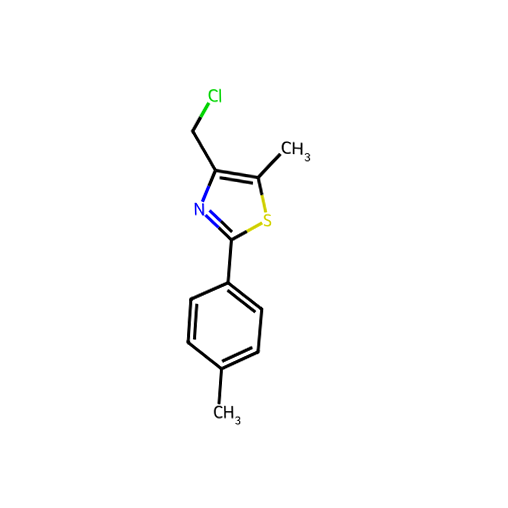 Cc1ccc(-c2nc(CCl)c(C)s2)cc1